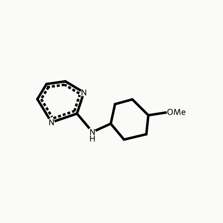 COC1CCC(Nc2ncccn2)CC1